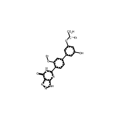 CCOc1cc(-c2cc(O)cc(O[C@@H](CC)C(=O)O)c2)ccc1-c1nc2[nH]nnc2c(=O)[nH]1